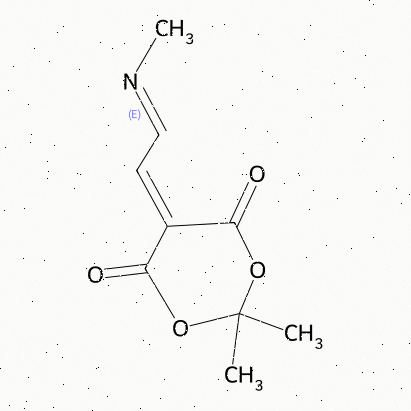 C/N=C/C=C1C(=O)OC(C)(C)OC1=O